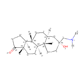 CCN(CC)C[C@@]1(O)CC[C@@]2(C)[C@@H](CC[C@@H]3[C@@H]2CC[C@]2(C)C(=O)CC[C@@H]32)C1